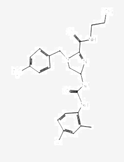 Cc1cc(Cl)ccc1NC(=O)NC1CN(Cc2ccc(C(F)(F)F)cc2)C(C(=O)NCCO)=N1